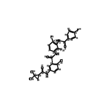 O=C(Nc1c(F)ccc(NC(=O)c2cc(NC(=O)C3CC3(Cl)Cl)ccc2Cl)c1F)c1ccc(F)nc1